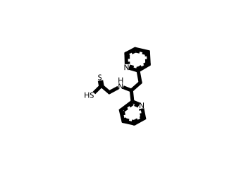 S=C(S)CNC(Cc1ccccn1)c1ccccn1